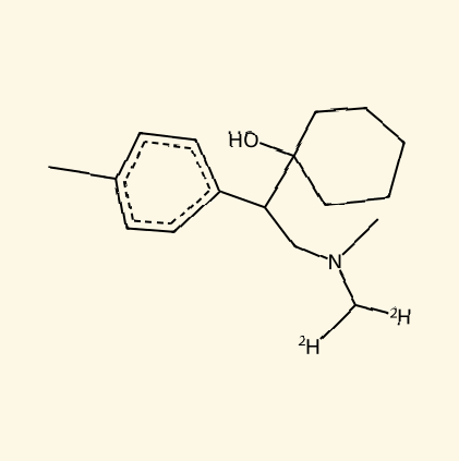 [2H]C([2H])N(C)CC(c1ccc(C)cc1)C1(O)CCCCC1